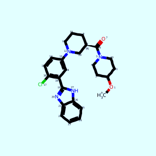 COC1CCN(C(=O)[C@@H]2CCCN(c3ccc(Cl)c(-c4nc5ccccc5[nH]4)c3)C2)CC1